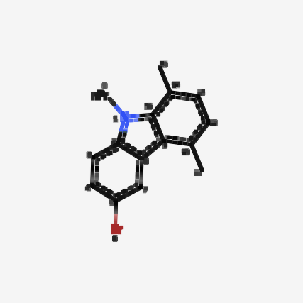 CCCn1c2ccc(Br)cc2c2c(C)ccc(C)c21